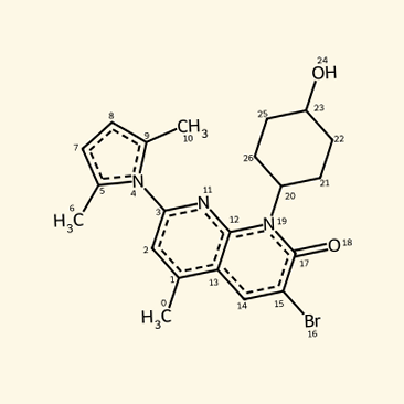 Cc1cc(-n2c(C)ccc2C)nc2c1cc(Br)c(=O)n2C1CCC(O)CC1